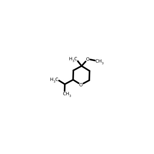 COC1(C)CCOC(C(C)C)C1